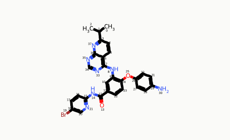 CC(C)c1ccc2c(Nc3cc(C(=O)Nc4ccc(Br)cn4)ccc3Oc3ccc(N)cc3)ncnc2n1